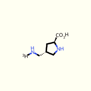 [2H]NC[C@H]1CN[C@H](C(=O)O)C1